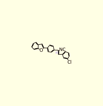 N#Cc1ccc(Cl)cc1/C=C/c1ccc(-c2cc3ccccc3o2)cc1